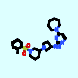 Cc1ccccc1S(=O)(=O)N1CCCC(N2CCC(Nc3nccc(N4CCCCCC4)n3)C2)C1